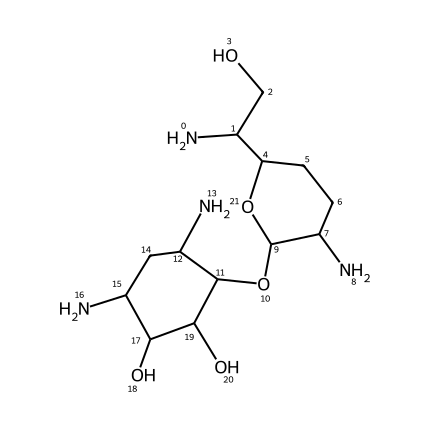 NC(CO)C1CCC(N)C(OC2C(N)CC(N)C(O)C2O)O1